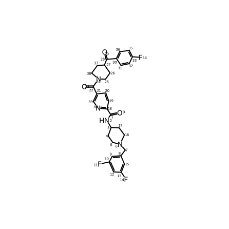 O=C(NC1CCN(Cc2cc(F)cc(F)c2)CC1)c1ccc(C(=O)N2CCC(C(=O)c3ccc(F)cc3)CC2)cn1